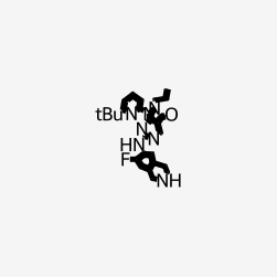 C=CCn1c(=O)c2cnc(Nc3cc4c(cc3F)CNCC4)nc2n1-c1cccc(C(C)(C)C)n1